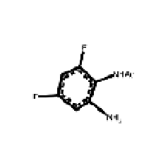 CC(=O)Nc1c(N)cc(F)cc1F